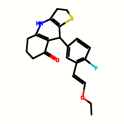 CCOC=Cc1cc(C2C3=C(CCS3)NC3=C2C(=O)CCC3)ccc1F